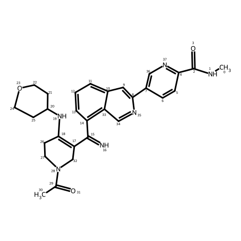 CNC(=O)c1ccc(-c2cc3cccc(C(=N)C4=C(NC5CCOCC5)CCN(C(C)=O)C4)c3cn2)cn1